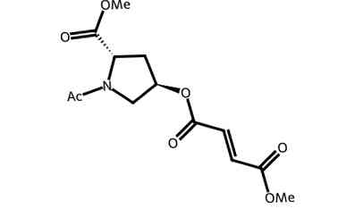 COC(=O)/C=C/C(=O)O[C@@H]1C[C@@H](C(=O)OC)N(C(C)=O)C1